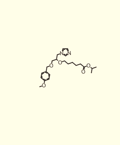 COc1ccc(COCC(Cn2ccnc2)OCCCCCC(=O)OC(C)C)cc1